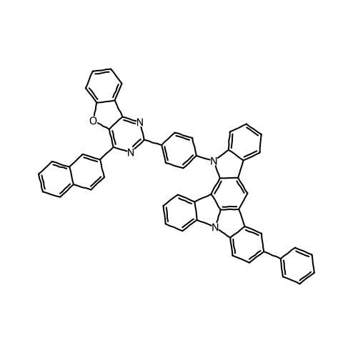 c1ccc(-c2ccc3c(c2)c2cc4c5ccccc5n(-c5ccc(-c6nc(-c7ccc8ccccc8c7)c7oc8ccccc8c7n6)cc5)c4c4c5ccccc5n3c24)cc1